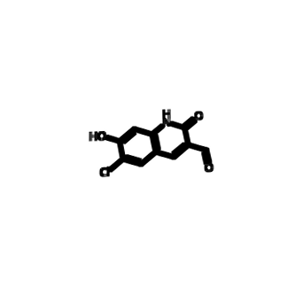 O=Cc1cc2cc(Cl)c(O)cc2[nH]c1=O